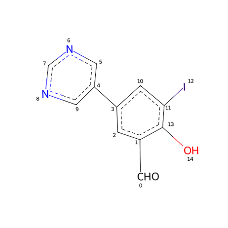 O=Cc1cc(-c2cncnc2)cc(I)c1O